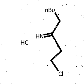 CCCCCC(=N)CCCl.Cl